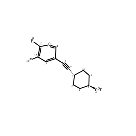 CCC[C@H]1CC[C@H](C#Cc2cnc(F)c(F)c2)CC1